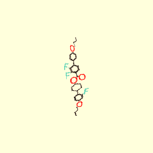 C=CCCOc1ccc(C2CCC(OC(=O)c3ccc(-c4ccc(OCCCC)cc4)c(F)c3F)CC2)c(F)c1